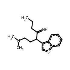 CCCC(=N)C(CCN(C)C)c1csc2ccccc12